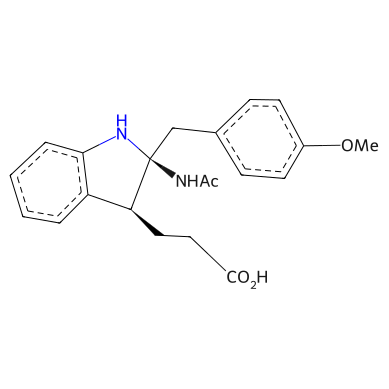 COc1ccc(C[C@@]2(NC(C)=O)Nc3ccccc3[C@@H]2CCC(=O)O)cc1